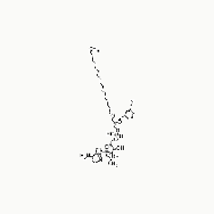 CCCCCCCCCCCCCCCCCCOC[C@H](COP(=O)(O)OC[C@H]1O[C@@](C=NC)(c2ccc3c(N)ncnn23)[C@H](O)[C@@H]1O)OCc1cccc(C#N)c1